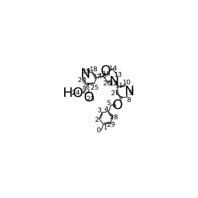 Cc1ccc(COc2cncc(N3CCOC(c4cncc(C(=O)O)c4)C3)c2)cc1